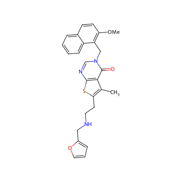 COc1ccc2ccccc2c1Cn1cnc2sc(CCNCc3ccco3)c(C)c2c1=O